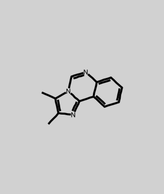 Cc1nc2c3ccccc3ncn2c1C